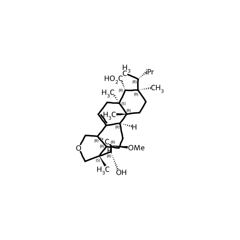 CO[C@@H]1C[C@@]23COC[C@](C)([C@@H]2CC[C@H]2C3=CC[C@@]3(C)[C@H](C(=O)O)[C@@](C)([C@H](C)C(C)C)CC[C@]23C)[C@H]1O